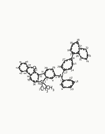 C[Si]1(C)c2cc(N(c3ccccc3)c3ccc(-c4cccc5ccccc45)cc3)ccc2-c2c1ccc1c2oc2ccccc21